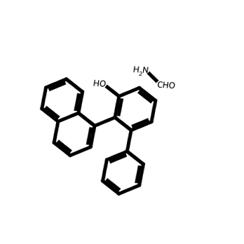 NC=O.Oc1cccc(-c2ccccc2)c1-c1cccc2ccccc12